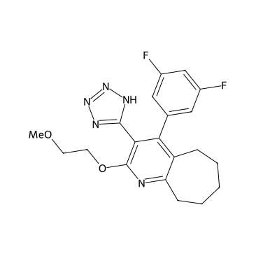 COCCOc1nc2c(c(-c3cc(F)cc(F)c3)c1-c1nnn[nH]1)CCCCC2